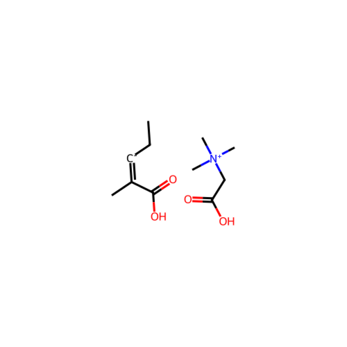 CC[C-]=C(C)C(=O)O.C[N+](C)(C)CC(=O)O